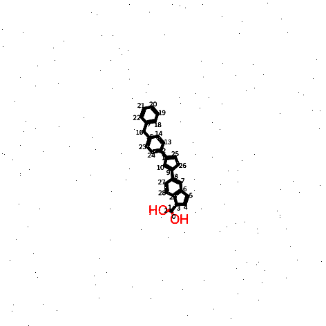 OC(O)C1C=Cc2cc(C3=CC(c4ccc(Cc5ccccc5)cc4)=CC3)ccc21